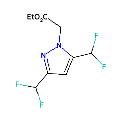 CCOC(=O)Cn1nc(C(F)F)cc1C(F)F